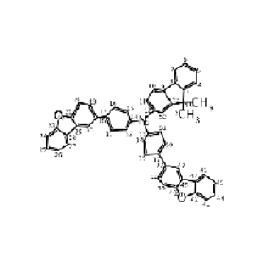 CC1(C)c2ccccc2-c2ccc(N(c3ccc(-c4ccc5oc6ccccc6c5c4)cc3)c3ccc(-c4ccc5oc6ccccc6c5c4)cc3)cc21